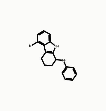 Brc1cccc2[nH]c3c(c12)CCCC3Nc1ccccc1